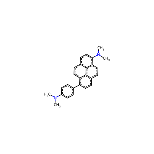 CN(C)c1ccc(-c2ccc3ccc4c(N(C)C)ccc5ccc2c3c54)cc1